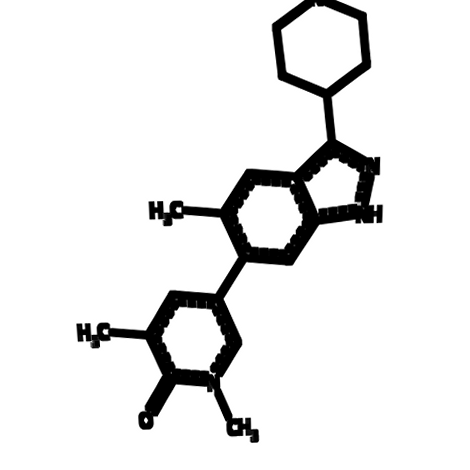 Cc1cc2c(C3CCNCC3)n[nH]c2cc1-c1cc(C)c(=O)n(C)c1